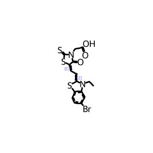 CCN1/C(=C/C=C2/SC(=S)N(CC(=O)O)C2=O)Sc2ccc(Br)cc21